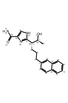 C[C@H](O)[C@H](CCCc1ccc2ccccc2c1)c1nc(C(N)=O)c[nH]1